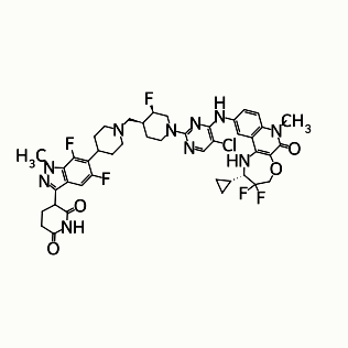 Cn1nc(C2CCC(=O)NC2=O)c2cc(F)c(C3CCN(C[C@@H]4CCN(c5ncc(Cl)c(Nc6ccc7c(c6)c6c(c(=O)n7C)OCC(F)(F)[C@H](C7CC7)N6)n5)C[C@@H]4F)CC3)c(F)c21